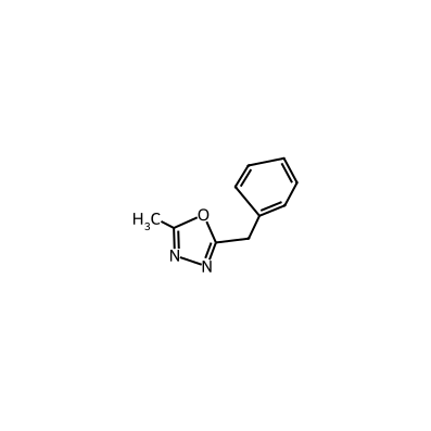 Cc1nnc(Cc2ccccc2)o1